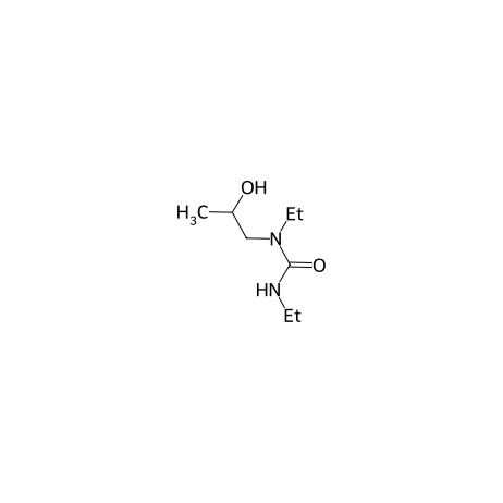 CCNC(=O)N(CC)CC(C)O